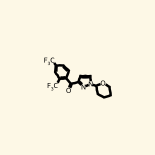 O=C(c1ccn(C2CCCCO2)n1)c1ccc(C(F)(F)F)cc1C(F)(F)F